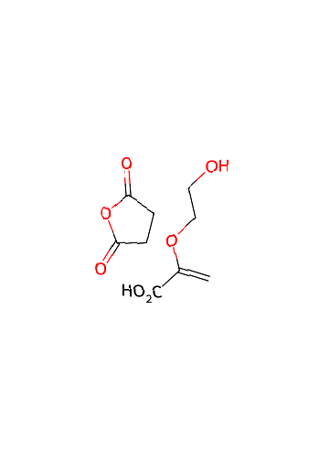 C=C(OCCO)C(=O)O.O=C1CCC(=O)O1